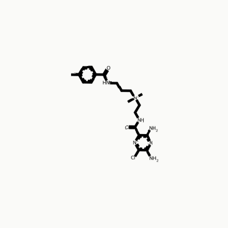 Cc1ccc(C(=O)NCCC[N+](C)(C)CCNC(=O)c2nc(Cl)c(N)nc2N)cc1